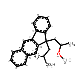 CC(CC1(CC(C)C(=O)O)c2ccccc2-c2cc3ccccc3cc21)OC=O